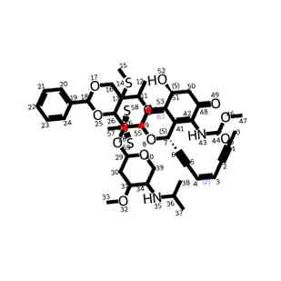 CC#C/C=C\C#C[C@H](OC1OC(C)C2(SC)COC(c3ccccc3)OC2C1OC1CC(OC)C(NC(C)C)CO1)C1=C(NC(=O)OC)C(=O)C[C@H](O)/C1=C/CS(C)(=S)=S